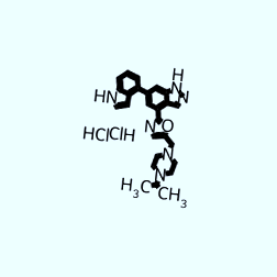 CC(C)N1CCN(Cc2cnc(-c3cc(-c4cccc5[nH]ccc45)cc4[nH]ncc34)o2)CC1.Cl.Cl